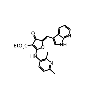 CCOC(=O)C1=C(Nc2ccc(C)nc2C)O/C(=C\c2c[nH]c3ncccc23)C1=O